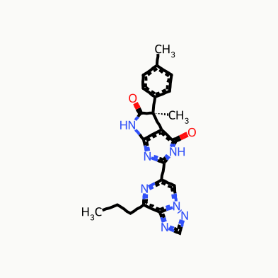 CCCc1nc(-c2nc3c(c(=O)[nH]2)[C@](C)(c2ccc(C)cc2)C(=O)N3)cn2ncnc12